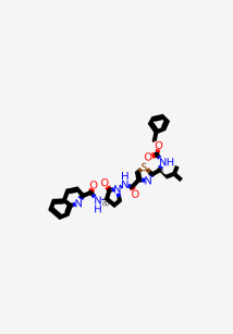 CC(C)C[C@H](NC(=O)OCc1ccccc1)c1nc(C(=O)NN2CC[C@H](NC(=O)c3ccc4ccccc4n3)C2=O)cs1